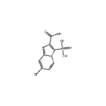 O=C(O)c1nc2cc(Cl)ccn2c1P(=O)(O)O